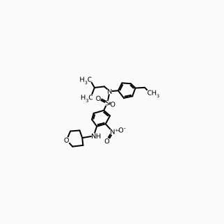 CCc1ccc(N(CC(C)C)S(=O)(=O)c2ccc(NC3CCOCC3)c([N+](=O)[O-])c2)cc1